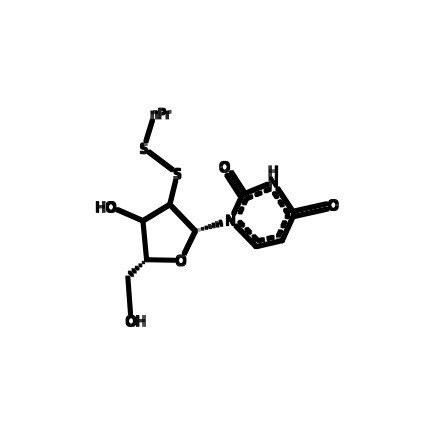 CCCSSC1C(O)[C@@H](CO)O[C@H]1n1ccc(=O)[nH]c1=O